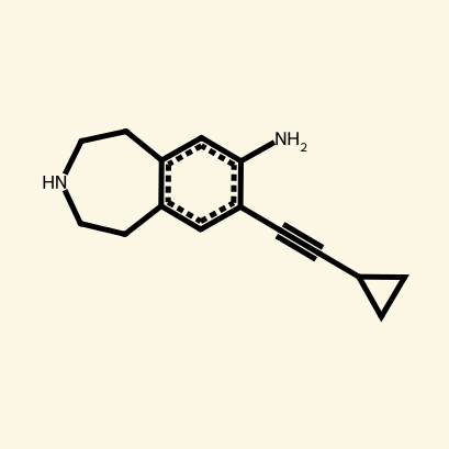 Nc1cc2c(cc1C#CC1CC1)CCNCC2